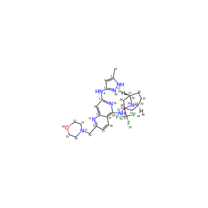 Cc1cc(Nc2cc3nc(CN4CCOCC4)ccc3c(NC3C[C@@H]4CC[C@@H](C3)N4CC(F)(F)F)n2)n[nH]1